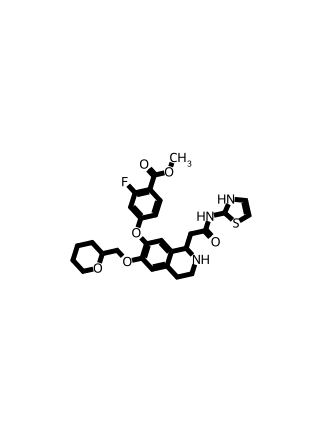 COC(=O)c1ccc(Oc2cc3c(cc2OCC2CCCCO2)CCNC3CC(=O)NC2NC=CS2)cc1F